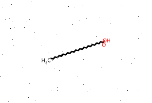 CCCCCCC=CCCCCCCCCCCCCCCCCCCC(=O)O